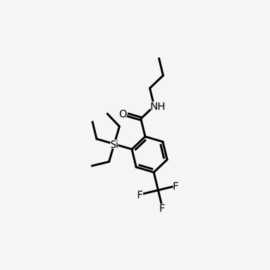 CCCNC(=O)c1ccc(C(F)(F)F)cc1[Si](CC)(CC)CC